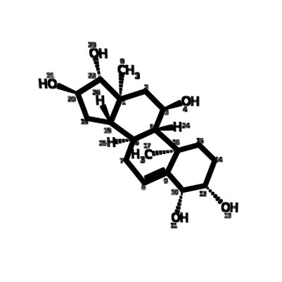 C[C@]12C[C@@H](O)[C@H]3[C@@H](CC=C4[C@@H](O)[C@@H](O)CC[C@@]43C)[C@@H]1C[C@@H](O)[C@@H]2O